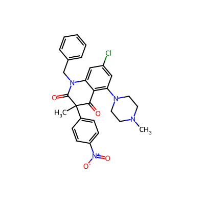 CN1CCN(c2cc(Cl)cc3c2C(=O)C(C)(c2ccc([N+](=O)[O-])cc2)C(=O)N3Cc2ccccc2)CC1